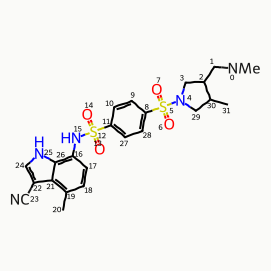 CNCC1CN(S(=O)(=O)c2ccc(S(=O)(=O)Nc3ccc(C)c4c(C#N)c[nH]c34)cc2)CC1C